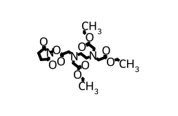 CCOC(=O)CN(CCN(CC(=O)OCC)CC(=O)ON1C(=O)CCC1=O)CC(=O)OCC